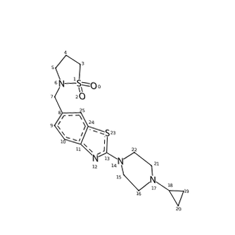 O=S1(=O)CCCN1Cc1ccc2nc(N3CCN(C4CC4)CC3)sc2c1